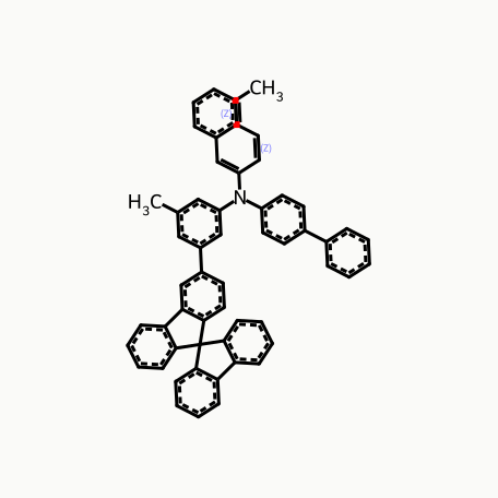 C/C=C\C=C/C(=Cc1ccccc1)N(c1ccc(-c2ccccc2)cc1)c1cc(C)cc(-c2ccc3c(c2)-c2ccccc2C32c3ccccc3-c3ccccc32)c1